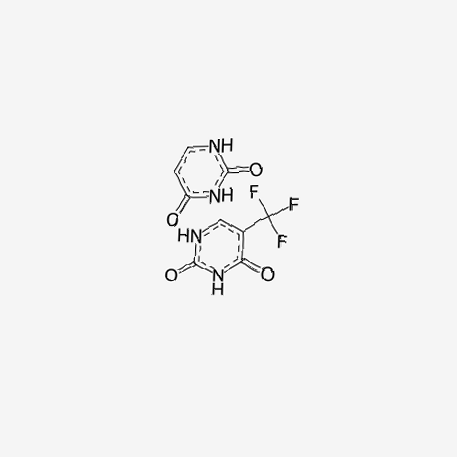 O=c1[nH]cc(C(F)(F)F)c(=O)[nH]1.O=c1cc[nH]c(=O)[nH]1